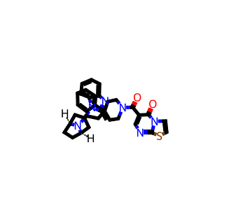 Cc1nc2ccccc2n1C1C[C@H]2CC[C@@H](C1)N2CCC1(c2ccccc2)CCN(C(=O)c2cnc3sccn3c2=O)CC1